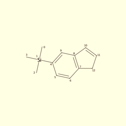 C[Si](C)(C)c1ccc2c(c1)C=CC2